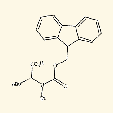 CCCC[C@H](C(=O)O)N(CC)C(=O)OCC1c2ccccc2-c2ccccc21